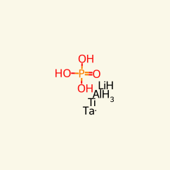 O=P(O)(O)O.[AlH3].[LiH].[Ta].[Ti]